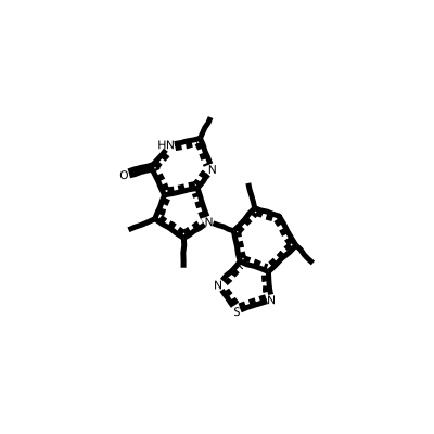 Cc1nc2c(c(C)c(C)n2-c2c(C)cc(C)c3nsnc23)c(=O)[nH]1